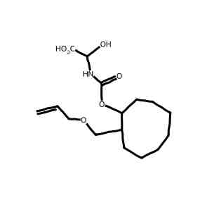 C=CCOCC1CCCCCCCC1OC(=O)NC(O)C(=O)O